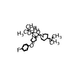 CN(C)C1CCN(C(=O)[C@H]2C[C@H](Oc3ccc(F)cc3)CN2C(=O)OC(C)(C)C)CC1